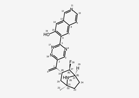 C=C(c1cnc(-c2cc3ccncc3cc2O)nn1)[C@H]1C[C@]2(C)CC[C@@H](N2)[C@@H]1F